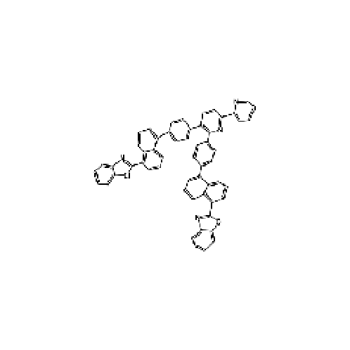 c1ccc(-c2ccc(-c3ccc(-c4cccc5c(-c6nc7ccccc7o6)cccc45)cc3)c(-c3ccc(-c4cccc5c(-c6nc7ccccc7o6)cccc45)cc3)n2)nc1